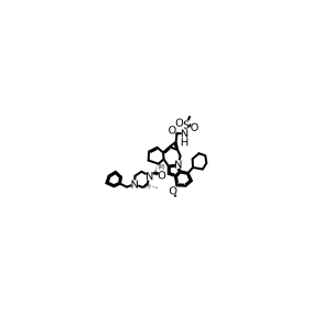 COc1ccc(C2CCCCC2)c2c1cc1n2CC2=C(C(=O)NS(C)(=O)=O)C2=C2C=CC[C@@H](C(=O)N3CCN(Cc4ccccc4)C[C@H]3C)C21